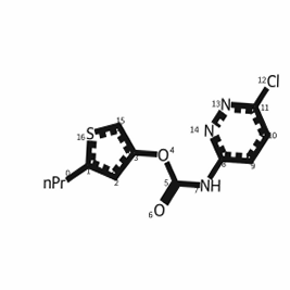 CCCc1cc(OC(=O)Nc2ccc(Cl)nn2)cs1